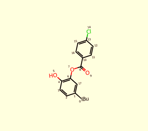 CCC(C)c1ccc(O)c(OC(=O)c2ccc(Cl)cc2)c1